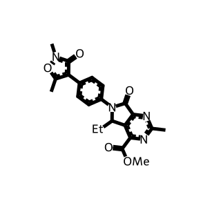 CCC1c2c(C(=O)OC)nc(C)nc2C(=O)N1c1ccc(-c2c(C)on(C)c2=O)cc1